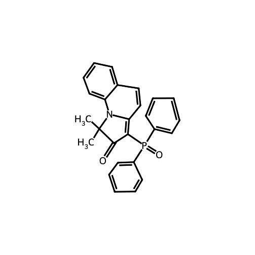 CC1(C)C(=O)C(P(=O)(c2ccccc2)c2ccccc2)=C2C=Cc3ccccc3N21